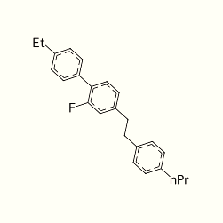 CCCc1ccc(CCc2ccc(-c3ccc(CC)cc3)c(F)c2)cc1